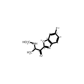 CC(NC(=O)O)C(=O)c1nc2ccc(F)cc2o1